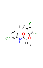 Cc1cc(OC(C)C(=O)Nc2cccc(Cl)c2)c(Cl)cc1Cl